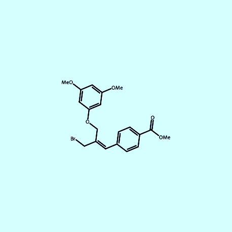 COC(=O)c1ccc(C=C(CBr)COc2cc(OC)cc(OC)c2)cc1